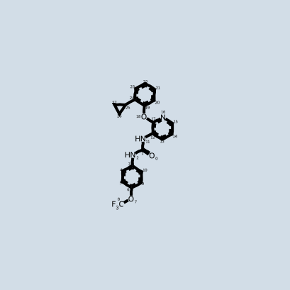 O=C(Nc1ccc(OC(F)(F)F)cc1)Nc1cccnc1Oc1ccccc1C1CC1